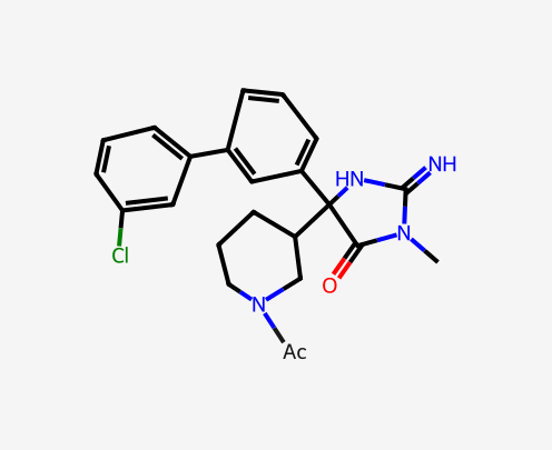 CC(=O)N1CCCC(C2(c3cccc(-c4cccc(Cl)c4)c3)NC(=N)N(C)C2=O)C1